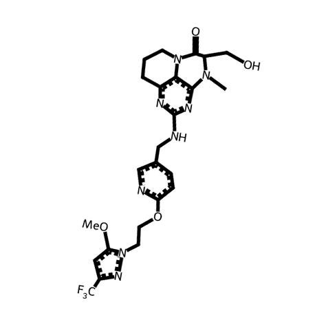 COc1cc(C(F)(F)F)nn1CCOc1ccc(CNc2nc3c4c(n2)N(C)C(CO)C(=O)N4CCC3)cn1